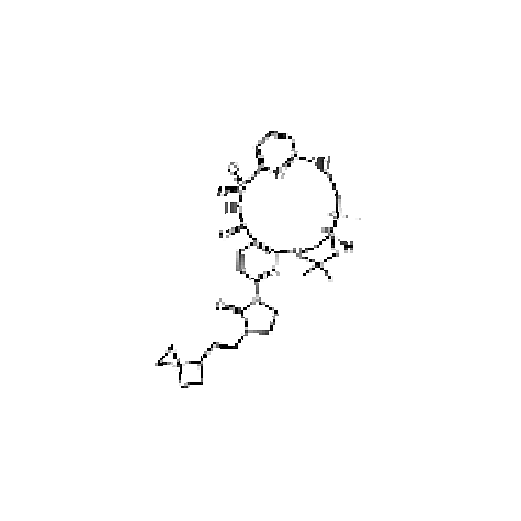 C[C@H]1CCNc2cccc(n2)S(=O)(=O)NC(=O)c2ccc(N3CCC(CCC4CCC45CC5)C3=O)nc2N2C[C@@H]1CC2(C)C